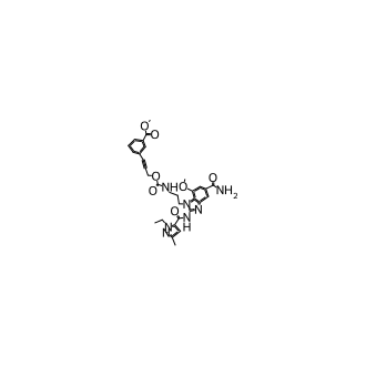 CCn1nc(C)cc1C(=O)Nc1nc2cc(C(N)=O)cc(OC)c2n1CCCNC(=O)OCC#Cc1cccc(C(=O)OC)c1